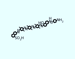 Cc1cc(N=Nc2cc(C)c(N=Nc3cc(C)c(N=Nc4ccc5cc(NOc6ccc(N)cc6)ccc5c4O)cc3C)cc2C)c(C)cc1N=Nc1ccc2cccc(S(=O)(=O)O)c2c1